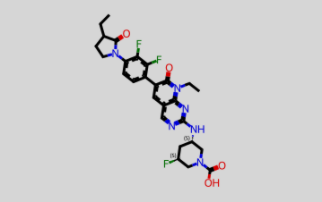 CCC1CCN(c2ccc(-c3cc4cnc(N[C@H]5C[C@H](F)CN(C(=O)O)C5)nc4n(CC)c3=O)c(F)c2F)C1=O